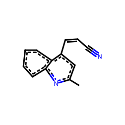 Cc1cc(/C=C\C#N)c2ccccc2n1